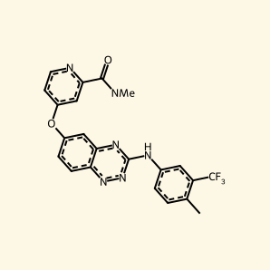 CNC(=O)c1cc(Oc2ccc3nnc(Nc4ccc(C)c(C(F)(F)F)c4)nc3c2)ccn1